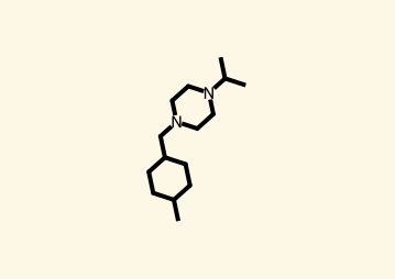 CC1CCC(CN2CCN(C(C)C)CC2)CC1